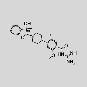 COc1cc(C2CCN(C(=O)[C@@](C)(O)c3ccccc3)CC2)c(C)cc1C(=O)NC(=N)N